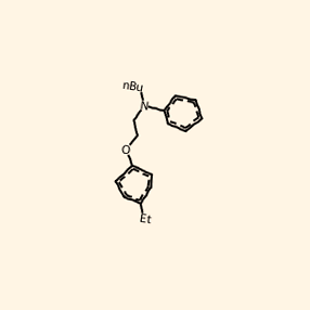 CCCCN(CCOc1ccc(CC)cc1)c1ccccc1